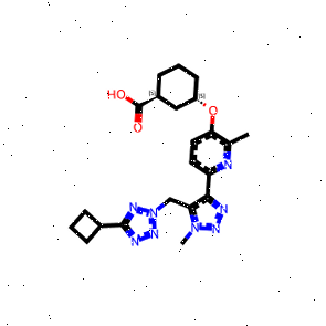 Cc1nc(-c2nnn(C)c2Cn2nnc(C3CCC3)n2)ccc1O[C@H]1CCC[C@H](C(=O)O)C1